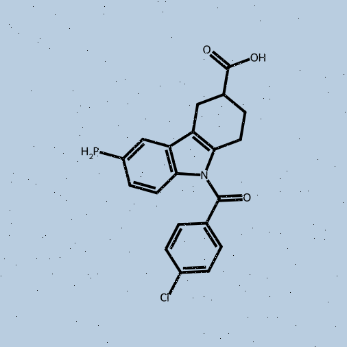 O=C(O)C1CCc2c(c3cc(P)ccc3n2C(=O)c2ccc(Cl)cc2)C1